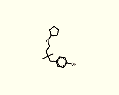 CC(C)(CCOC1CCCC1)Cc1ccc(O)cc1